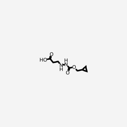 O=C(O)CCNNC(=O)OCC1CC1